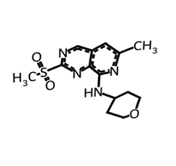 Cc1cc2cnc(S(C)(=O)=O)nc2c(NC2CCOCC2)n1